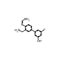 N/C=N\c1ccc(-c2cc(O)cc(F)c2)cc1CN